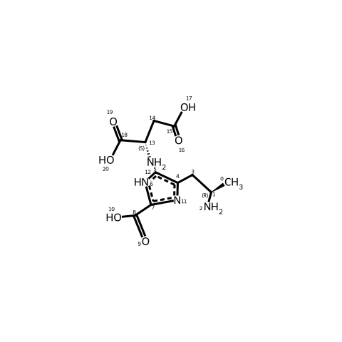 C[C@@H](N)Cc1c[nH]c(C(=O)O)n1.N[C@@H](CC(=O)O)C(=O)O